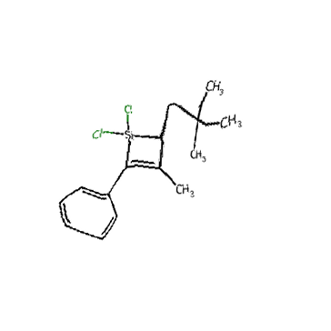 CC1=C(c2ccccc2)[Si](Cl)(Cl)C1CC(C)(C)C